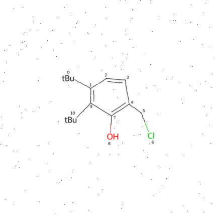 CC(C)(C)c1ccc(CCl)c(O)c1C(C)(C)C